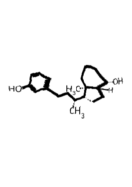 C[C@H](CCc1cccc(O)c1)[C@H]1CC[C@H]2[C@@H](O)CCC[C@]12C